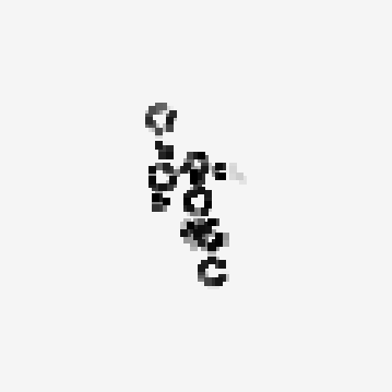 Cc1ccc(-c2cc(Br)ccc2OCc2ccccc2)n1-c1ccc(S(=O)(=O)NC(=O)c2ccccc2)cc1